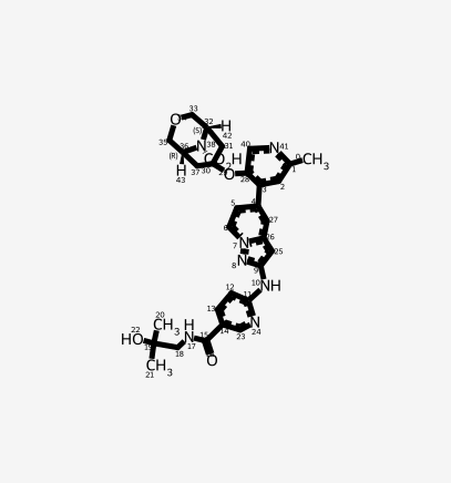 Cc1cc(-c2ccn3nc(Nc4ccc(C(=O)NCC(C)(C)O)cn4)cc3c2)c(OC2C[C@H]3COC[C@@H](C2)N3C(=O)O)cn1